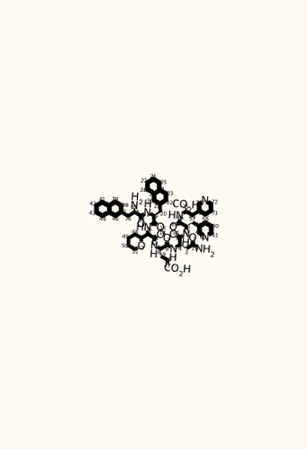 NC(=O)C[C@H](NC(=O)[C@H](CCC(=O)O)NC(=O)C(NC(=O)[C@H](Cc1ccc2ccccc2c1)NC(=O)[C@@H](N)Cc1ccc2ccccc2c1)C1CCCCO1)C(=O)N[C@@H](Cc1cccnc1)C(=O)N[C@@H](Cc1cccnc1)C(=O)O